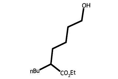 CCCCC(CCCCO)C(=O)OCC